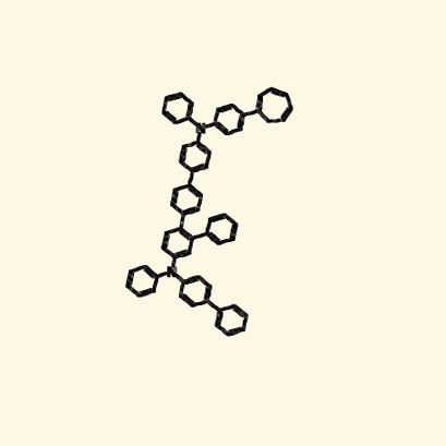 C1=CC=C(c2ccc(N(c3ccccc3)c3ccc(-c4ccc(-c5ccc(N(c6ccccc6)c6ccc(-c7ccccc7)cc6)cc5-c5ccccc5)cc4)cc3)cc2)CC=C1